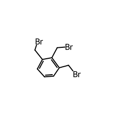 BrCc1cccc(CBr)c1CBr